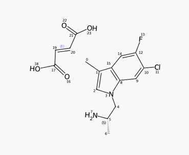 Cc1cn(C[C@H](C)N)c2cc(Cl)c(F)cc12.O=C(O)/C=C/C(=O)O